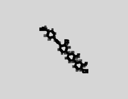 CCCCc1ccc(C#Cc2ccc(-c3ccc(-c4ccc(C#N)c(F)c4)c(F)c3)cc2CC)cc1